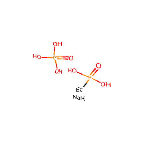 CCP(=O)(O)O.O=P(O)(O)O.[NaH]